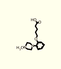 CN1CCN(c2ccccc2OCCCCC(=O)O)CC1